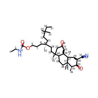 CCNC(=O)OCCC[C@@](C)(CCC(C)(C)CC)CC[C@]1(C)CC(=O)C=C2[C@@]3(C)C=C(C#N)C(=O)[C@@H](C)[C@@H]3CC[C@]21C